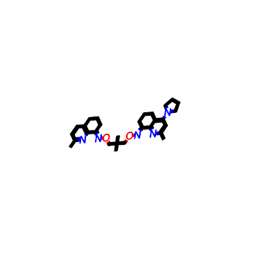 Cc1ccc2c(n1)/C(=N/OCC(C)(C)CO/N=C1\CCCc3c(N4CCCC4)cc(C)nc31)CCC2